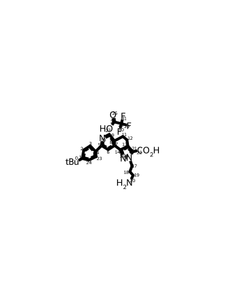 CC(C)(C)c1ccc(-c2cc3c(cn2)CCc2c-3nn(CCCN)c2C(=O)O)cc1.O=C(O)C(F)(F)F